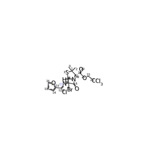 CC1(C)S[C@H]2N(C(=O)C2(Br)/N=C(\Cl)c2ccco2)[C@H]1C(=O)OCC(Cl)(Cl)Cl